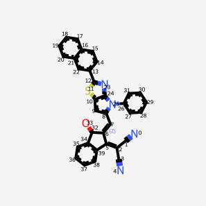 N#CC(C#N)=C1/C(=C/c2cc3sc(-c4ccc5ccccc5c4)nc3n2-c2ccccc2)C(=O)c2ccccc21